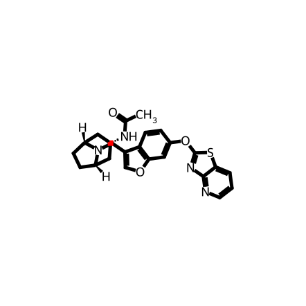 CC(=O)N[C@H]1C[C@H]2CC[C@@H](C1)N2Cc1coc2cc(Oc3nc4ncccc4s3)ccc12